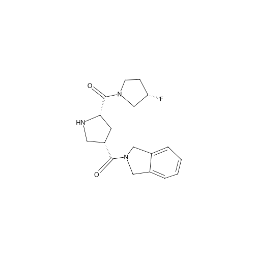 O=C([C@@H]1CN[C@H](C(=O)N2CC[C@H](F)C2)C1)N1Cc2ccccc2C1